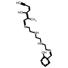 C#C\C=C/C(O)=C(C)/C=N\CCNCCNCC/N=C\c1ccccc1O